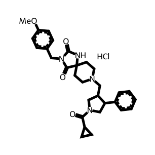 COc1ccc(CN2C(=O)NC3(CCN(CC4CN(C(=O)C5CC5)CC4c4ccccc4)CC3)C2=O)cc1.Cl